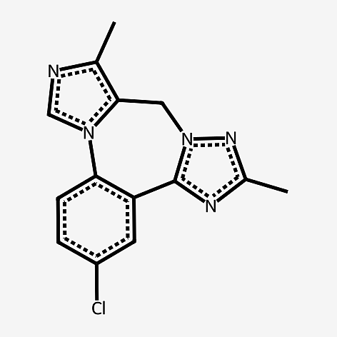 Cc1nc2n(n1)Cc1c(C)ncn1-c1ccc(Cl)cc1-2